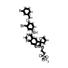 CCC(OCCS(C)(=O)=O)C1(c2cc3c(Nc4ccc(OCc5cccc(F)c5)c(Br)c4)ncnc3cc2OC)CC=CO1